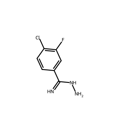 N=C(NN)c1ccc(Cl)c(F)c1